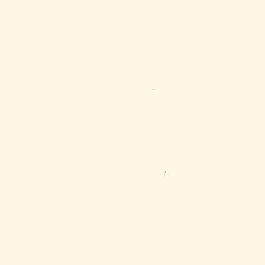 Cc1cc(F)c(CCc2ccc(C)nc2)c(F)c1